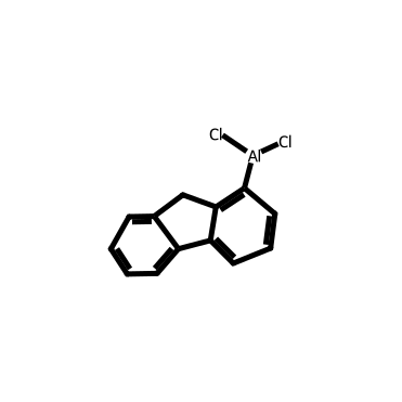 [Cl][Al]([Cl])[c]1cccc2c1Cc1ccccc1-2